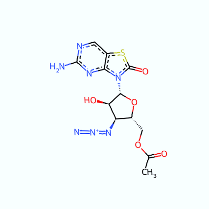 CC(=O)OC[C@H]1O[C@@H](n2c(=O)sc3cnc(N)nc32)[C@H](O)[C@@H]1N=[N+]=[N-]